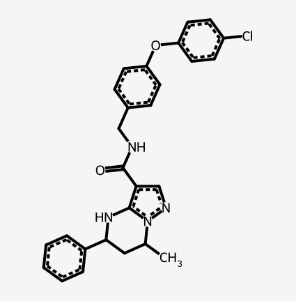 CC1CC(c2ccccc2)Nc2c(C(=O)NCc3ccc(Oc4ccc(Cl)cc4)cc3)cnn21